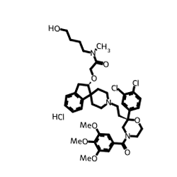 COc1cc(C(=O)N2CCO[C@@](CCN3CCC4(CC3)c3ccccc3C[C@@H]4OCC(=O)N(C)CCCCO)(c3ccc(Cl)c(Cl)c3)C2)cc(OC)c1OC.Cl